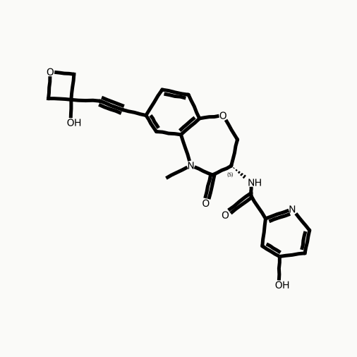 CN1C(=O)[C@@H](NC(=O)c2cc(O)ccn2)COc2ccc(C#CC3(O)COC3)cc21